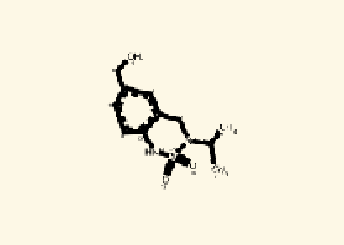 CC(C)N1Cc2cc(CO)ccc2NS1(=O)=O